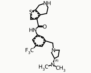 CN(C)[C@@H]1CCN(Cc2cc(NC(=O)c3csc4c3CCNC4)cc(C(F)(F)F)c2)C1